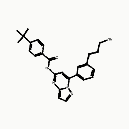 CC(C)(C)c1ccc(C(=O)Nc2cc(-c3cccc(CCCO)c3)n3nccc3n2)cc1